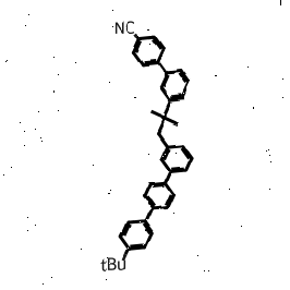 CC(C)(C)c1ccc(-c2ccc(-c3cccc(CC(C)(C)c4cccc(-c5ccc(C#N)cc5)c4)c3)cc2)cc1